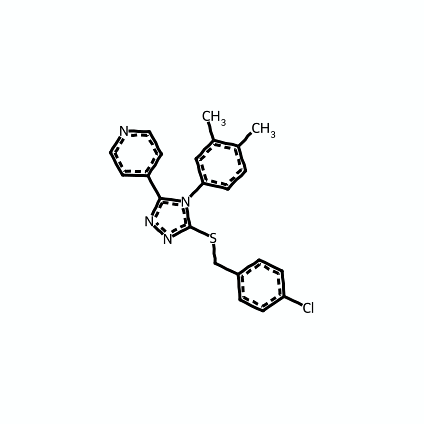 Cc1ccc(-n2c(SCc3ccc(Cl)cc3)nnc2-c2ccncc2)cc1C